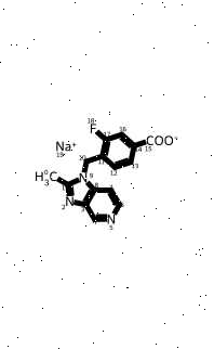 Cc1nc2cnccc2n1Cc1ccc(C(=O)[O-])cc1F.[Na+]